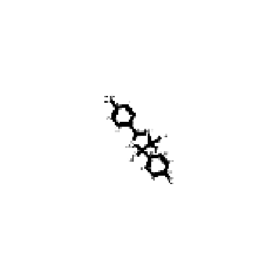 FC1(F)N=C(c2ccc(Cl)cc2)SC1(F)c1ccc(Cl)cc1